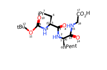 CCCCC[C@@H](NC(=O)[C@H](CC(C)C)NC(=O)OC(C)(C)C)C(=O)NCC(=O)O